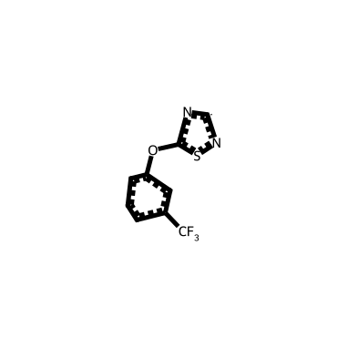 FC(F)(F)c1cccc(Oc2n[c]ns2)c1